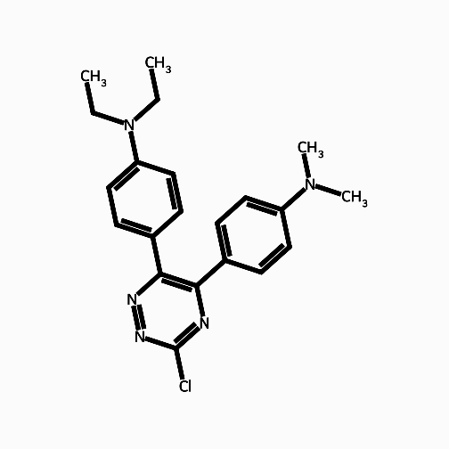 CCN(CC)c1ccc(-c2nnc(Cl)nc2-c2ccc(N(C)C)cc2)cc1